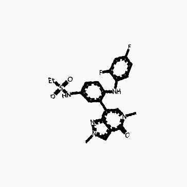 CCS(=O)(=O)Nc1ccc(Nc2ccc(F)cc2F)c(-c2cn(C)c(=O)c3cn(C)nc23)c1